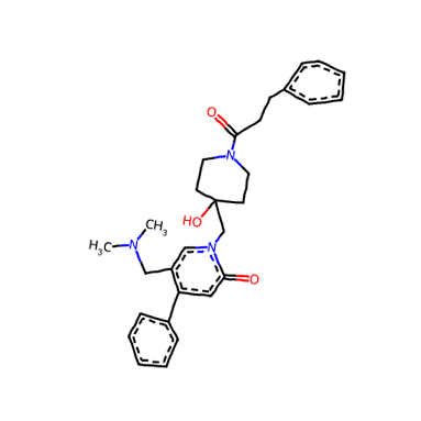 CN(C)Cc1cn(CC2(O)CCN(C(=O)CCc3ccccc3)CC2)c(=O)cc1-c1ccccc1